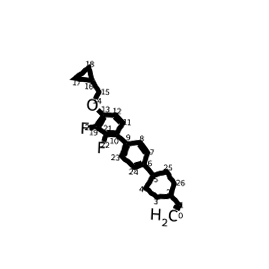 C=CC1CCC(c2ccc(-c3ccc(OCC4CC4)c(F)c3F)cc2)CC1